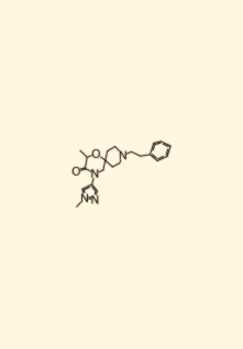 CC1OC2(CCN(CCc3ccccc3)CC2)CN(c2cnn(C)c2)C1=O